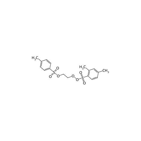 Cc1ccc(S(=O)(=O)OCCOOS(=O)(=O)c2ccc(C)cc2C)cc1